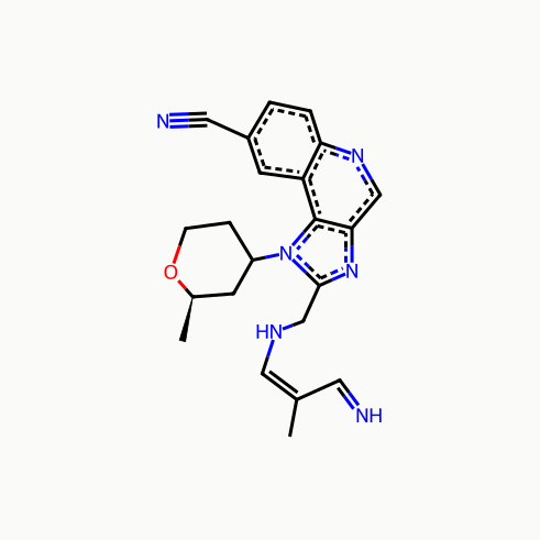 C/C(C=N)=C/NCc1nc2cnc3ccc(C#N)cc3c2n1C1CCO[C@H](C)C1